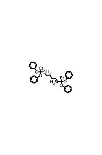 CCC(Oc1ccccc1)(Oc1ccccc1)[SiH2]CCCC[SiH2]C(CC)(Oc1ccccc1)Oc1ccccc1